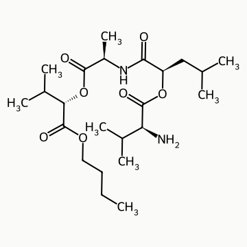 CCCCOC(=O)[C@@H](OC(=O)[C@@H](C)NC(=O)[C@@H](CC(C)C)OC(=O)[C@@H](N)C(C)C)C(C)C